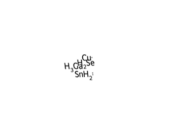 [Cu].[GaH3].[SeH2].[SnH2]